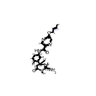 C/C=C/COc1cnc(C(=O)Nc2ccc(F)c(C3(C)CC(=O)N(C)C(N)=N3)c2)cn1